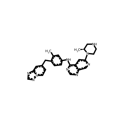 Cc1cc(Nc2ncnc3cnc(N4CCNC[C@@H]4C)cc23)ccc1Cc1ccn2ncnc2c1